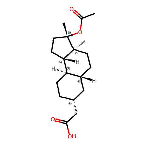 CC(=O)O[C@@]1(C)CC[C@H]2[C@@H]3CC[C@@H](CC(=O)O)C[C@H]3CC[C@@]21C